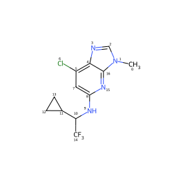 Cn1cnc2c(Cl)cc(NC(C3CC3)C(F)(F)F)nc21